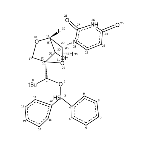 CC(C)(C)C(O[SiH](c1ccccc1)c1ccccc1)[C@@]12CO[C@H]([C@H](n3ccc(=O)[nH]c3=O)O1)[C@H]2O